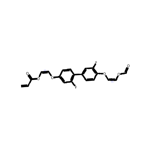 C=CC(=O)O/C=C\Oc1ccc(-c2ccc(O/C=C\OC=O)c(F)c2)c(F)c1